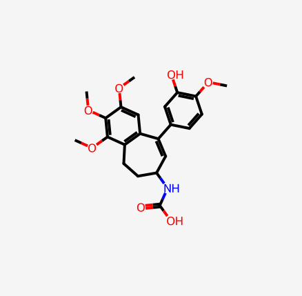 COc1ccc(C2=CC(NC(=O)O)CCc3c2cc(OC)c(OC)c3OC)cc1O